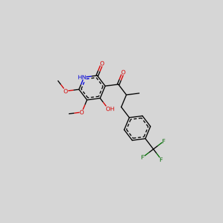 COc1[nH]c(=O)c(C(=O)C(C)Cc2ccc(C(F)(F)F)cc2)c(O)c1OC